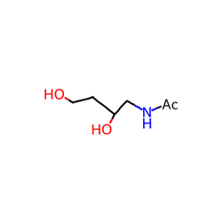 CC(=O)NCC(O)CCO